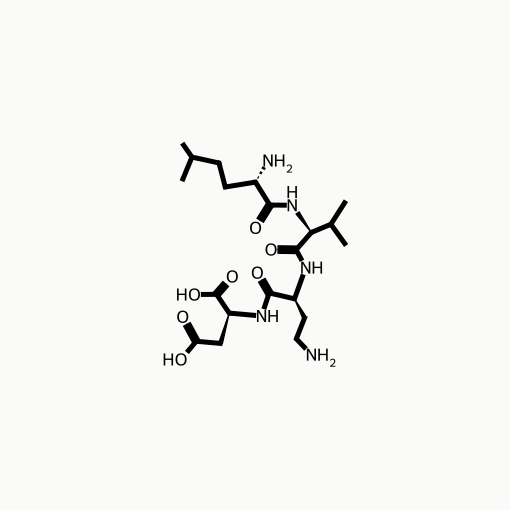 CC(C)CC[C@H](N)C(=O)N[C@H](C(=O)N[C@@H](CCN)C(=O)N[C@@H](CC(=O)O)C(=O)O)C(C)C